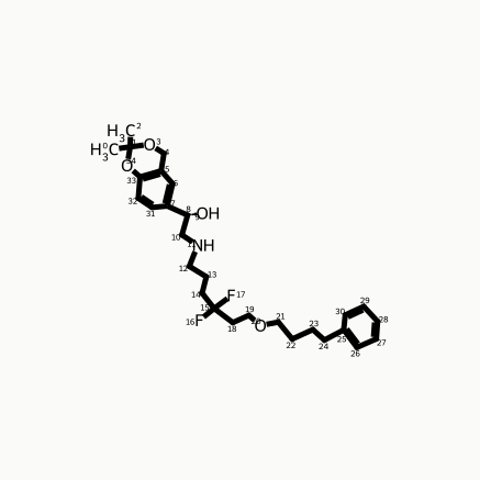 CC1(C)OCc2cc([C@H](O)CNCCCC(F)(F)CCOCCCCc3ccccc3)ccc2O1